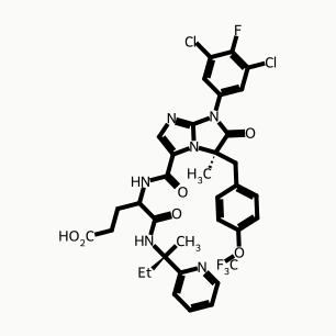 CC[C@](C)(NC(=O)C(CCC(=O)O)NC(=O)c1cnc2n1[C@](C)(Cc1ccc(OC(F)(F)F)cc1)C(=O)N2c1cc(Cl)c(F)c(Cl)c1)c1ccccn1